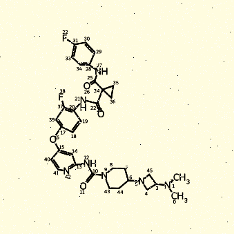 CN(C)C1CN(C2CCN(C(=O)Nc3cc(Oc4ccc(NC(=O)C5(C(=O)Nc6ccc(F)cc6)CC5)c(F)c4)ccn3)CC2)C1